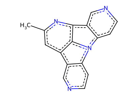 Cc1cc2c3cnccc3n3c4ccncc4c(n1)c23